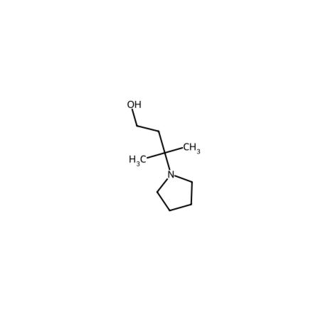 CC(C)(CCO)N1CCCC1